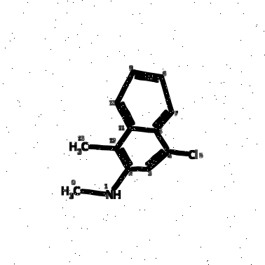 CNc1cc(Cl)c2ccccc2c1C